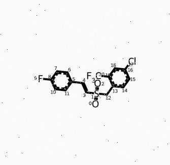 O=S(=O)(C=Cc1ccc(F)cc1)Cc1ccc(Cl)cc1C(F)(F)F